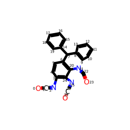 O=C=Nc1ccc(C(c2ccccc2)c2ccccc2)c(N=C=O)c1N=C=O